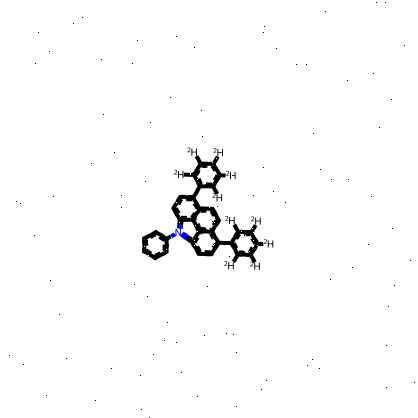 [2H]c1c([2H])c([2H])c(-c2ccc3c4c2ccc2c(-c5c([2H])c([2H])c([2H])c([2H])c5[2H])ccc(c24)n3-c2ccccc2)c([2H])c1[2H]